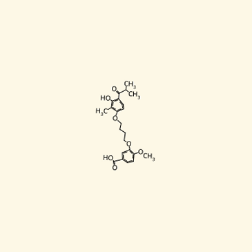 COc1ccc(C(=O)O)cc1OCCCCOc1ccc(C(=O)C(C)C)c(O)c1C